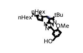 CCCCCCN(CCCCCC)c1ccc(/C=c2/c(C(C)(C)C)nn3c(-c4cc(CO)ccc4OC)nnc23)s1